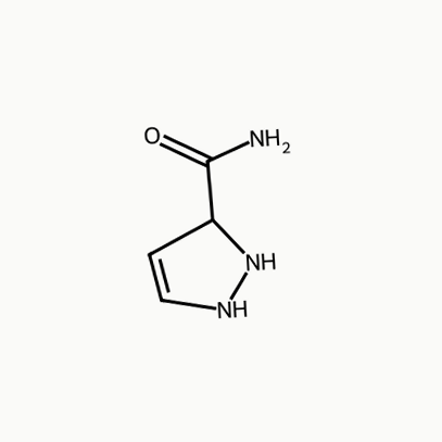 NC(=O)C1C=CNN1